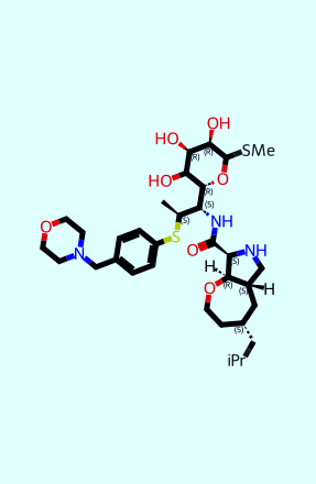 CSC1O[C@H]([C@H](NC(=O)[C@H]2NC[C@@H]3C[C@H](CC(C)C)CCO[C@H]32)[C@H](C)Sc2ccc(CN3CCOCC3)cc2)C(O)[C@@H](O)[C@H]1O